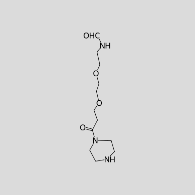 O=CNCCOCCOCCC(=O)N1CCNCC1